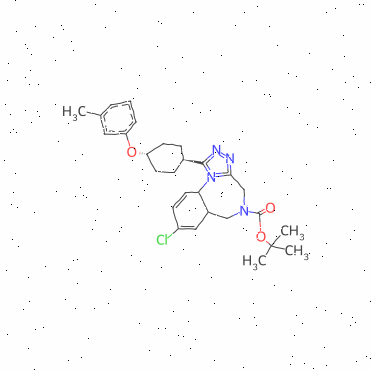 Cc1cccc(O[C@H]2CC[C@H](c3nnc4n3C3C=CC(Cl)=CC3CN(C(=O)OC(C)(C)C)C4)CC2)c1